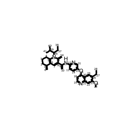 C=C1CCCC2=C1C=C(C(=C)Nc1ccc(Oc3ccnc4cc(OC)c(CC)cc34)cn1)C(=C)N2C(CC)C(C)C